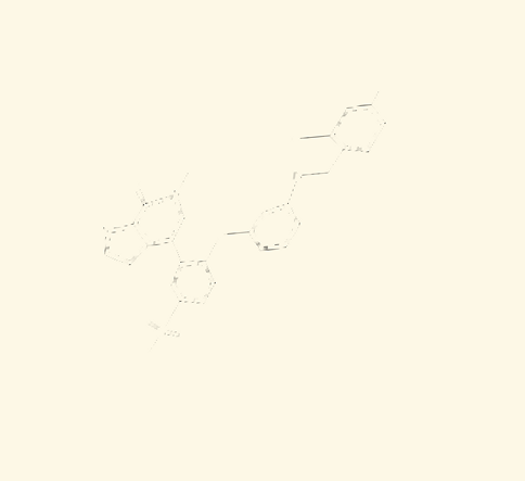 Cn1cc(-c2cc(S(C)(=O)=O)ccc2Oc2cccc(NCc3ccc(F)cc3Cl)c2)c2cc[nH]c2c1=O